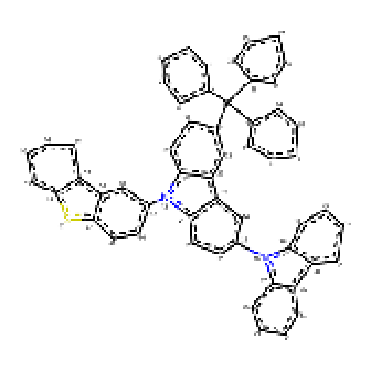 c1ccc(C(c2ccccc2)(c2ccccc2)c2ccc3c(c2)c2cc(-n4c5ccccc5c5ccccc54)ccc2n3-c2ccc3sc4ccccc4c3c2)cc1